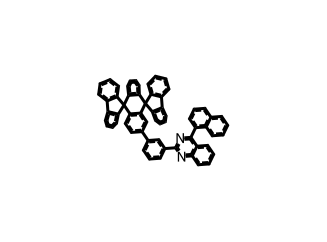 c1cc(-c2ccc3c(c2)C2(c4ccccc4-c4ccccc42)c2ccccc2C32c3ccccc3-c3ccccc32)cc(-c2nc(-c3cccc4ccccc34)c3ccccc3n2)c1